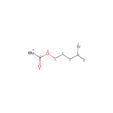 CC(Br)CCCOC(=O)C(C)(C)C